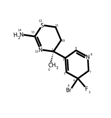 C[C@@]1(C2=CC(F)(Br)CN=C2)CCSC(N)=N1